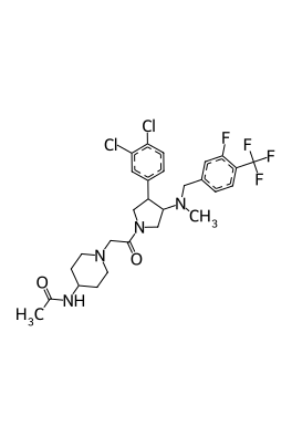 CC(=O)NC1CCN(CC(=O)N2CC(c3ccc(Cl)c(Cl)c3)C(N(C)Cc3ccc(C(F)(F)F)c(F)c3)C2)CC1